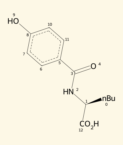 CCCC[C@H](NC(=O)c1ccc(O)cc1)C(=O)O